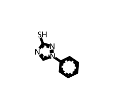 Sc1ncn(-c2ccccc2)n1